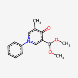 COB(OC)c1cn(-c2ccccc2)cc(C)c1=O